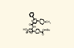 CCCCOC(=O)N1CCN(C(=O)C(CP(=O)(O)O)NC(=O)c2cc(N3CCN(C)CC3)nc(-c3ccccc3)n2)CC1